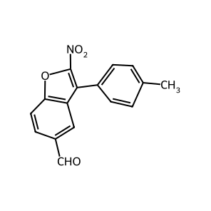 Cc1ccc(-c2c([N+](=O)[O-])oc3ccc(C=O)cc23)cc1